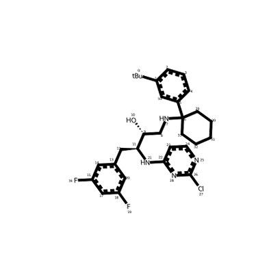 CC(C)(C)c1cccc(C2(NC[C@@H](O)[C@H](Cc3cc(F)cc(F)c3)Nc3ccnc(Cl)n3)CCCCC2)c1